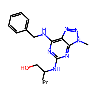 CC(C)C(CO)Nc1nc(NCc2ccccc2)c2nnn(C)c2n1